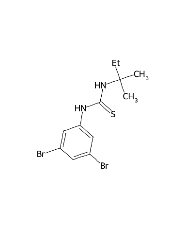 CCC(C)(C)NC(=S)Nc1cc(Br)cc(Br)c1